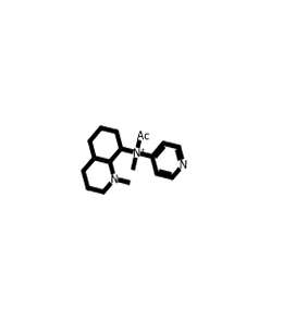 CC(=O)[N+](C)(c1ccncc1)C1CCCC2CCCN(C)C21